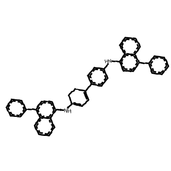 C1=C(Nc2ccc(-c3ccccc3)c3ccccc23)CCC(c2ccc(Nc3ccc(-c4ccccc4)c4ccccc34)cc2)=C1